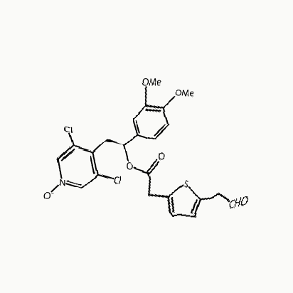 COc1ccc([C@H](Cc2c(Cl)c[n+]([O-])cc2Cl)OC(=O)Cc2ccc(CC=O)s2)cc1OC